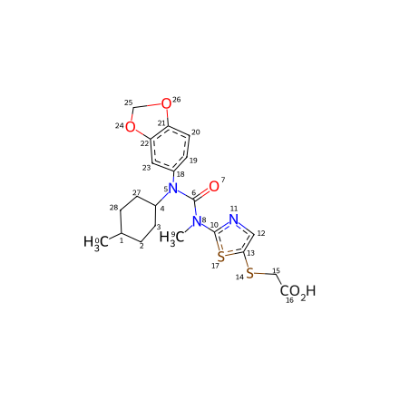 CC1CCC(N(C(=O)N(C)c2ncc(SCC(=O)O)s2)c2ccc3c(c2)OCO3)CC1